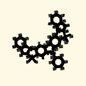 CC1(C)c2cc3c(cc2-n2c1cc1ccccc12)c1cc2c(cc1n3-c1ccccc1)C(C)(C)c1cc3ccccc3n1-2